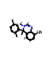 Cc1ccc(C)c(C2(C)c3cccc(C(C)C)c3N=CN2C)c1